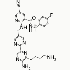 C[C@H](NC(=O)c1cc(C#N)cnc1NCc1cnc(-c2cnc(N)c(CCCCN)n2)nc1)c1ccc(F)cc1